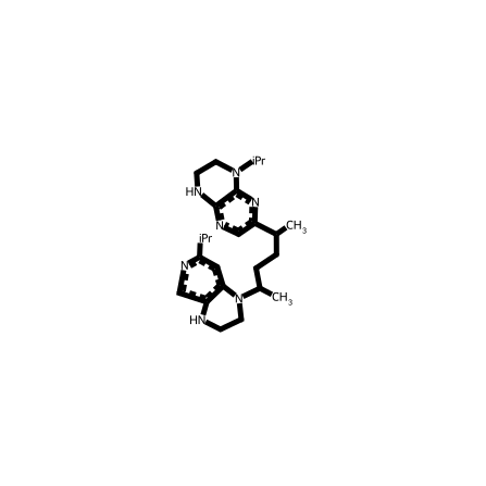 CC(C)c1cc2c(cn1)NCCN2C(C)CCC(C)c1cnc2c(n1)N(C(C)C)CCN2